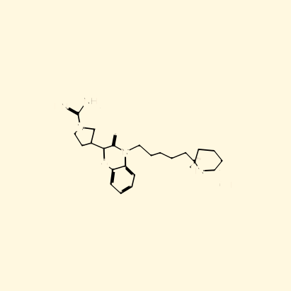 C[C@H]1CCC[C@@](C)(CCCCCN2C(=O)C(C3CCN(C(=N)N)C3)Oc3ccccc32)N1